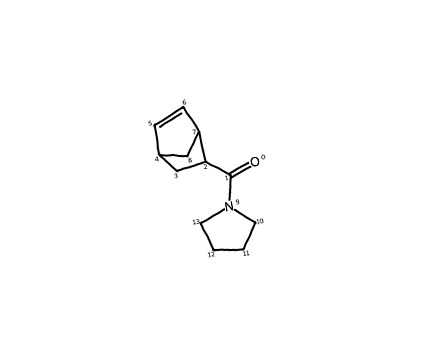 O=C(C1CC2C=CC1C2)N1CCCC1